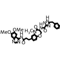 COc1cc2ncnc(NC(=O)CCc3ccc4c(c3)N(C)C(=O)C(NC(=O)c3n[nH]c(Cc5ccccc5)n3)CO4)c2cc1OC